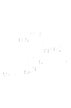 COCCNc1nc2nc(C(Cc3cc(F)cc(F)c3)NC=O)c(-c3ccc(F)c(C(N)=O)c3)cc2s1